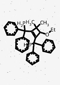 CCOC1C(C(P)(c2ccccc2)c2ccccc2)=C(C(P)(c2ccccc2)c2ccccc2)C1(C)C